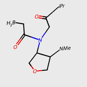 BCC(=O)N(CC(=O)C(C)C)C1COCC1NC